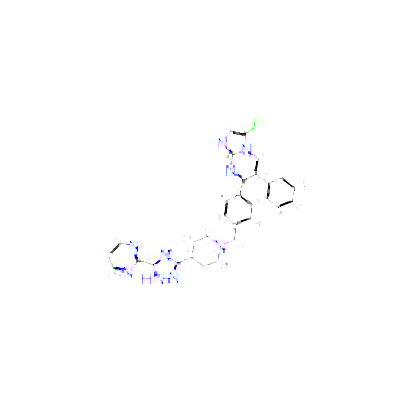 Fc1cnc2nc(-c3ccc(CN4CCC(c5n[nH]c(-c6ncccn6)n5)CC4)cc3)c(-c3ccccc3)cn12